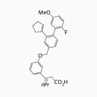 CCC[C@@H](CC(=O)O)c1cccc(OCc2ccc(-c3cc(OC)ccc3F)c(C3=CCCC3)c2)c1